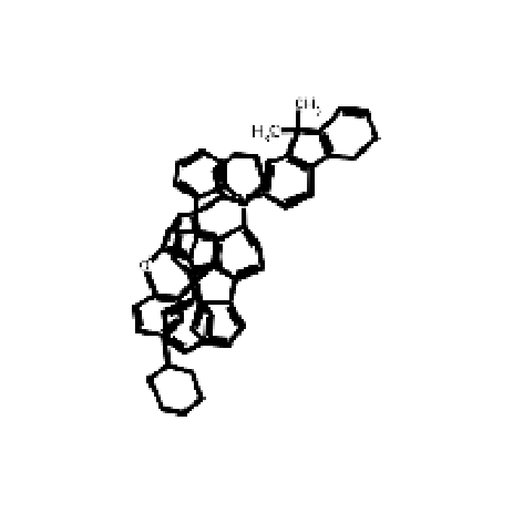 CC1(C)C2=C(CCC=C2)c2ccc(N(c3ccc4c(c3)C3(c5cc(C6CCCCC6)ccc5Oc5ccc(C6CCCCC6)cc53)c3ccccc3-4)c3ccccc3-c3ccc(-c4ccccc4)cc3)cc21